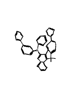 CC1(C)c2ccc(-c3ccccc3)cc2-c2c(N(c3ccccc3)c3cccc(-c4ccccc4)c3)cc3ccccc3c21